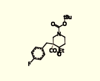 CCOC(=O)[C@]1(Cc2ccc(F)cc2)CN(C(=O)OC(C)(C)C)CCC1=O